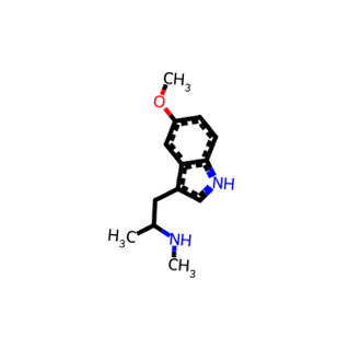 CNC(C)Cc1c[nH]c2ccc(OC)cc12